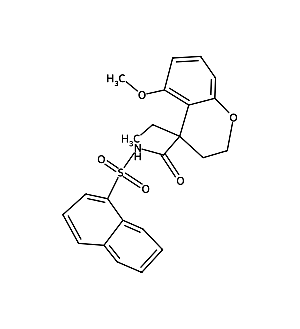 CCC1(C(=O)NS(=O)(=O)c2cccc3ccccc23)CCOc2cccc(OC)c21